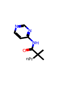 CCCC(C)(C)C(=O)Nc1ccncn1